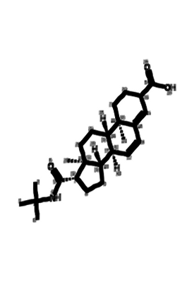 CC(C)(C)NC(=O)[C@H]1CC[C@H]2[C@@H]3C=CC4=CC(C(=O)O)CC[C@]4(C)[C@H]3CC[C@]12C